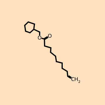 C=CCCCCCCCCC(=O)OCC1CCCCC1